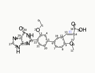 CCOc1cc(-c2ccc(OC)c(/C=C(\C)C(=O)O)c2)ccc1-c1nc2[nH]cnc2c(=O)[nH]1